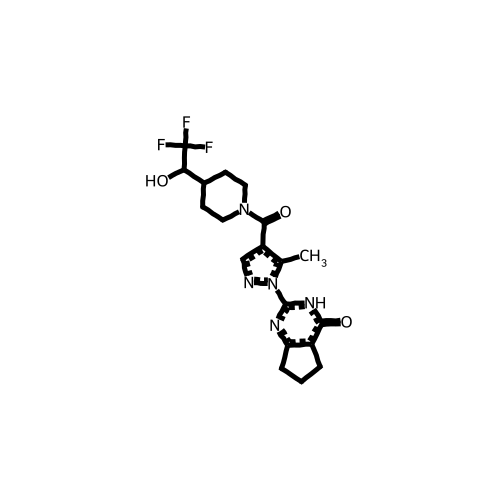 Cc1c(C(=O)N2CCC(C(O)C(F)(F)F)CC2)cnn1-c1nc2c(c(=O)[nH]1)CCC2